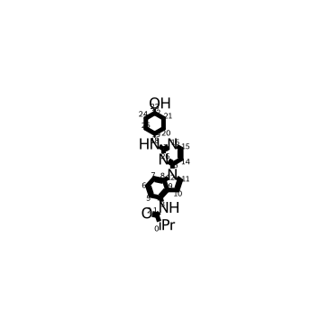 CC(C)C(=O)Nc1cccc2c1ccn2-c1ccnc(N[C@H]2CC[C@H](O)CC2)n1